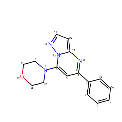 c1ccc(-c2cc(N3CCOCC3)n3nccc3n2)cc1